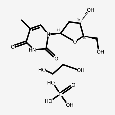 Cc1cn([C@H]2C[C@H](O)[C@@H](CO)O2)c(=O)[nH]c1=O.O=P(O)(O)O.OCCO